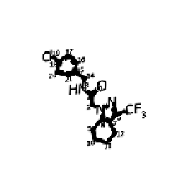 O=C(Cn1nc(C(F)(F)F)c2c1CCCC2)NCc1ccc(Cl)cc1